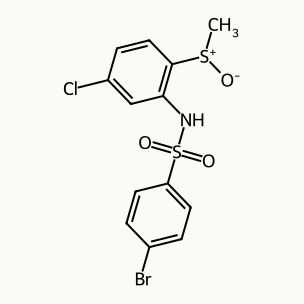 C[S+]([O-])c1ccc(Cl)cc1NS(=O)(=O)c1ccc(Br)cc1